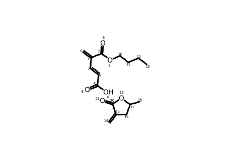 C=C(C=CC(=O)O)C(=O)OCCCC.C=C1CC(C)OC1=O